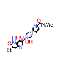 CCc1cc2ncc(C(O)(O)N3CCN(c4ccc(C(=O)NC)nc4)CC3)cc2[nH]c1=O